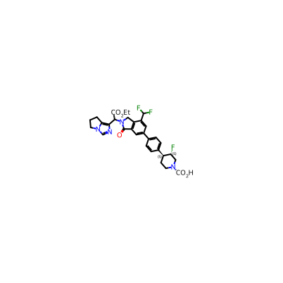 CCOC(=O)C(c1ncn2c1CCC2)N1Cc2c(cc(-c3ccc([C@@H]4CCN(C(=O)O)C[C@H]4F)cc3)cc2C(F)F)C1=O